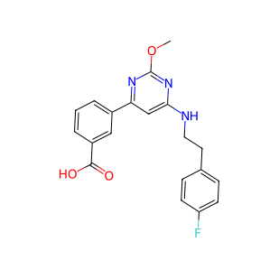 COc1nc(NCCc2ccc(F)cc2)cc(-c2cccc(C(=O)O)c2)n1